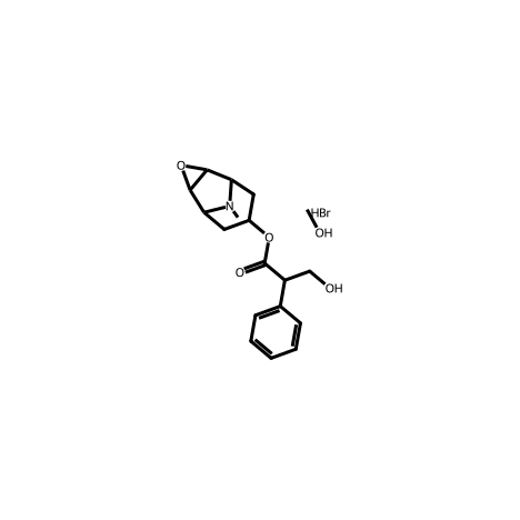 Br.CN1C2CC(OC(=O)C(CO)c3ccccc3)CC1C1OC12.CO